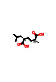 CC(C)C[C@H](CC[C@@H](C)C(=O)O)C(=O)O